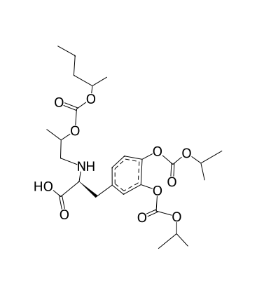 CCCC(C)OC(=O)OC(C)CN[C@@H](Cc1ccc(OC(=O)OC(C)C)c(OC(=O)OC(C)C)c1)C(=O)O